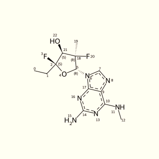 CC[C@@]1(F)O[C@@H](n2cnc3c(NC)nc(N)nc32)[C@](C)(F)[C@@H]1O